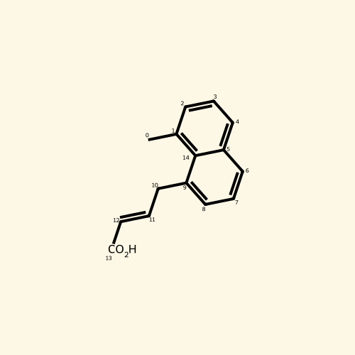 Cc1cccc2cccc(C/C=C/C(=O)O)c12